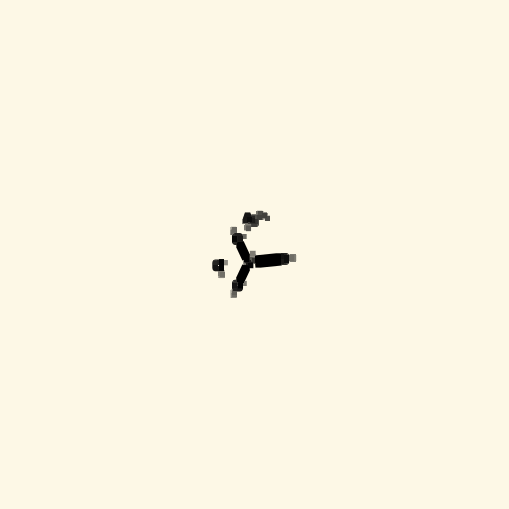 O=[N+]([O-])[O-].[Ag+2].[Cl-]